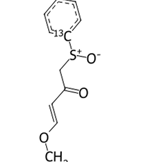 CO/C=C/C(=O)C[S+]([O-])[13c]1ccccc1